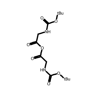 CC(C)(C)OC(=O)NCC(=O)OC(=O)CNC(=O)OC(C)(C)C